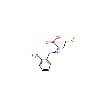 CSCC[C@H](NCc1ccccc1N)C(=O)O